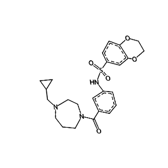 O=C(c1cccc(NS(=O)(=O)c2ccc3c(c2)OCCO3)c1)N1CCCN(CC2CC2)CC1